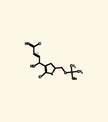 CC(C)(C)[Si](C)(C)OCC1CC(C(O)/C=C/C(=N)Cl)=C(Cl)S1